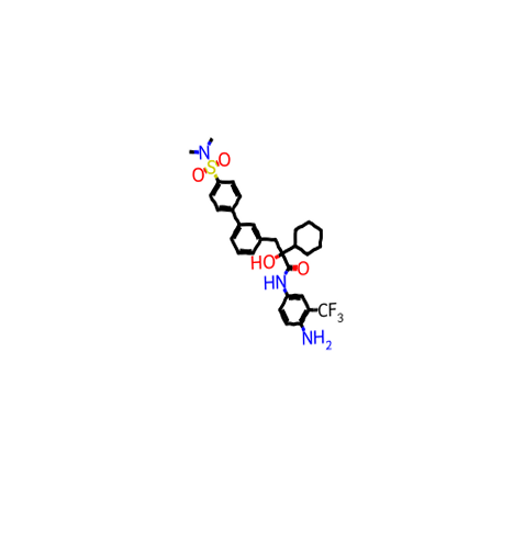 CN(C)S(=O)(=O)c1ccc(-c2cccc(CC(O)(C(=O)Nc3ccc(N)c(C(F)(F)F)c3)C3CCCCC3)c2)cc1